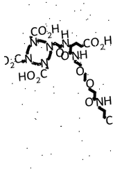 O=C(O)CCCNC(=O)CCOCCOCCNC(=O)C(CCC(=O)O)NC(=O)CN1CCN(CC(=O)O)CCN(CC(=O)O)CCN(CC(=O)O)CC1